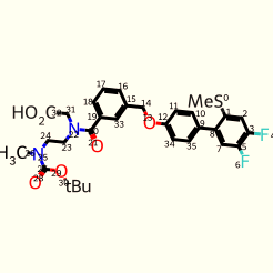 CSc1cc(F)c(F)cc1-c1ccc(OCc2cccc(C(=O)N(CCN(C)C(=O)OC(C)(C)C)CC(=O)O)c2)cc1